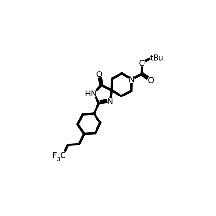 CC(C)(C)OC(=O)N1CCC2(CC1)N=C(C1CCC(CCC(F)(F)F)CC1)NC2=O